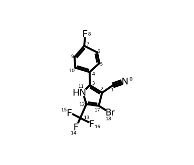 N#Cc1c(-c2ccc(F)cc2)[nH]c(C(F)(F)F)c1Br